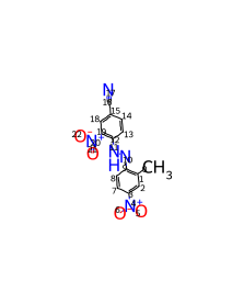 Cc1cc([N+](=O)[O-])ccc1[N]Nc1ccc(C#N)cc1[N+](=O)[O-]